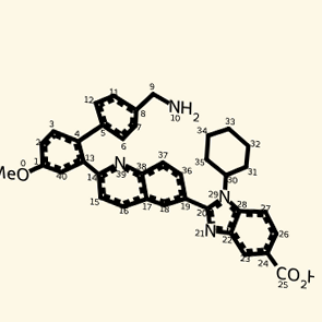 COc1ccc(-c2ccc(CN)cc2)c(-c2ccc3cc(-c4nc5cc(C(=O)O)ccc5n4C4CCCCC4)ccc3n2)c1